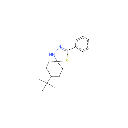 CC(C)(C)C1CCC2(CC1)NN=C(c1ccccc1)S2